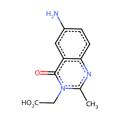 Cc1nc2ccc(N)cc2c(=O)n1CC(=O)O